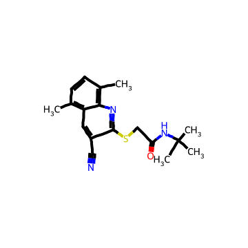 Cc1ccc(C)c2nc(SCC(=O)NC(C)(C)C)c(C#N)cc12